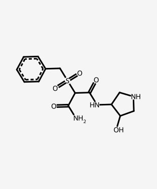 NC(=O)C(C(=O)NC1CNCC1O)S(=O)(=O)Cc1ccccc1